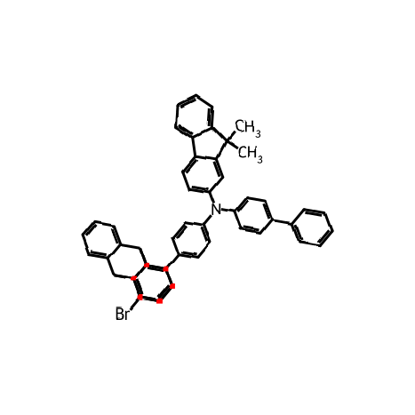 CC1(C)c2ccccc2-c2ccc(N(c3ccc(-c4ccccc4)cc3)c3ccc(-c4ccc(Br)c5c4C4c6ccccc6C5c5ccccc54)cc3)cc21